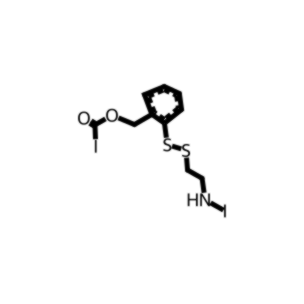 O=C(I)OCc1ccccc1SSCCNI